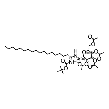 CCCCCCCCCCCCCCCCC[C@@H](NC(=O)OC(C)(C)C)NC(=O)[C@@H]1O[C@H](COC(C)=O)[C@@H](OC(C)=O)[C@H](OC(C)=O)[C@H]1OC(C)=O